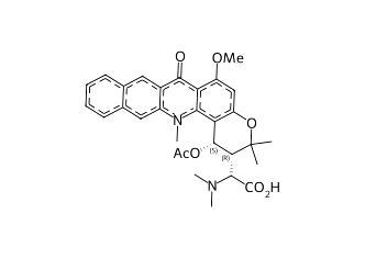 COc1cc2c(c3c1c(=O)c1cc4ccccc4cc1n3C)[C@@H](OC(C)=O)[C@@H](C(C(=O)O)N(C)C)C(C)(C)O2